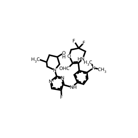 CC1CC(O)CN(c2ncc(F)c(Nc3ccc(N(C)C)c(C4=C(C=O)OCC(F)(F)CN4)c3)n2)C1